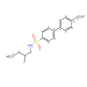 CC(CNS(=O)(=O)c1ccc(-c2ccc(C(=O)O)cc2)cc1)CC(=O)O